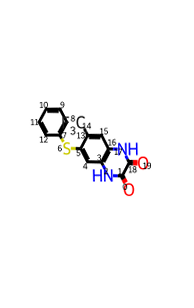 O=c1[nH]c2cc(Sc3ccccc3)c(C(F)(F)F)cc2[nH]c1=O